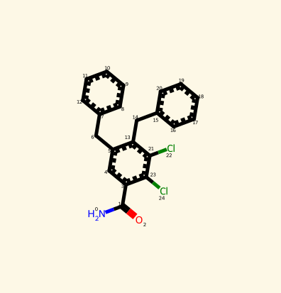 NC(=O)c1cc(Cc2ccccc2)c(Cc2ccccc2)c(Cl)c1Cl